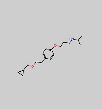 CC(C)NCCCOc1ccc(CCOCC2CC2)cc1